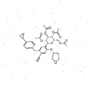 CC(=O)OC[C@H]1O[C@@H](c2cc(Cc3ccc(C4CC4)cc3)c(C#N)cc2O[C@@H]2CCOC2)[C@H](OC(C)=O)[C@@H](OC(C)=O)[C@@H]1OC(C)=O